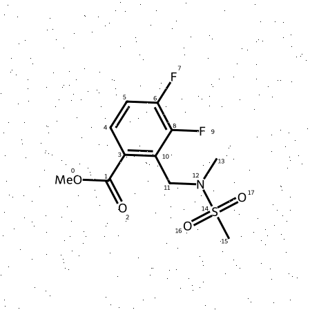 COC(=O)c1ccc(F)c(F)c1CN(C)S(C)(=O)=O